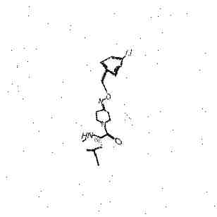 CN[C@@H](CC(C)C)C(=O)N1CCC(=NOCc2ccc(Cl)cc2)CC1